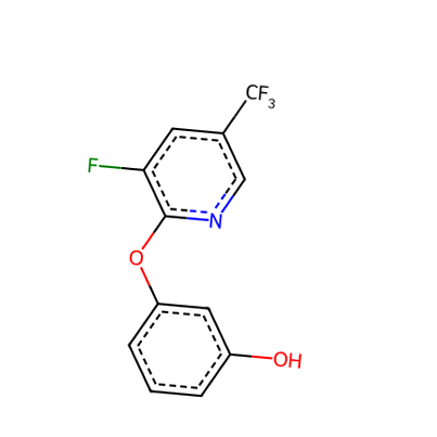 Oc1cccc(Oc2ncc(C(F)(F)F)cc2F)c1